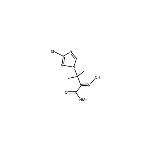 CNC(=O)/C(=N/O)C(C)(C)n1cnc(Cl)n1